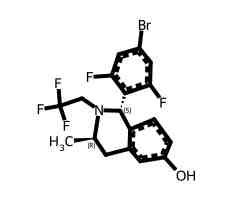 C[C@@H]1Cc2cc(O)ccc2[C@@H](c2c(F)cc(Br)cc2F)N1CC(F)(F)F